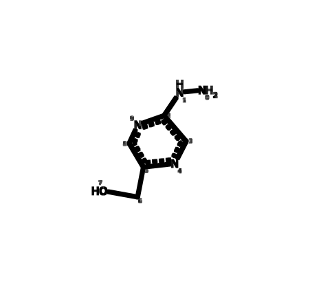 NNc1cnc(CO)cn1